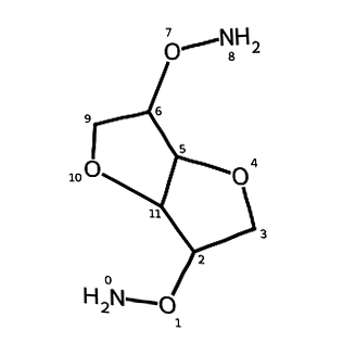 NOC1COC2C(ON)COC12